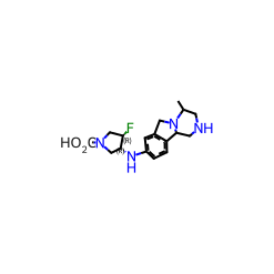 CC1CNCC2c3ccc(N[C@@H]4CN(C(=O)O)C[C@H]4F)cc3CN12